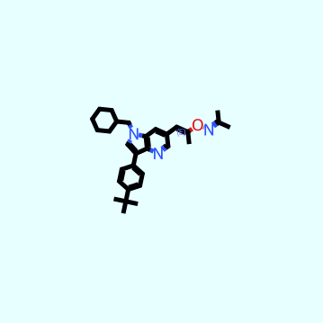 CC(C)=NO/C(C)=C/c1cnc2c(-c3ccc(C(C)(C)C)cc3)cn(CC3CCCCC3)c2c1